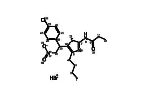 Br.CCCCc1nc(NC(=O)CC)sc1C(C[N+](=O)[O-])c1ccc(Cl)cc1